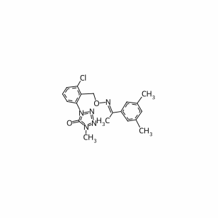 CC(=NOCc1c(Cl)cccc1-n1nnn(C)c1=O)c1cc(C)cc(C)c1